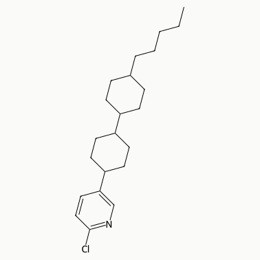 CCCCCC1CCC(C2CCC(c3ccc(Cl)nc3)CC2)CC1